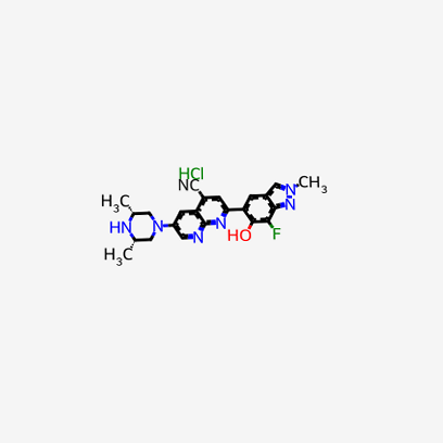 C[C@@H]1CN(c2cnc3nc(-c4cc5cn(C)nc5c(F)c4O)cc(C#N)c3c2)C[C@H](C)N1.Cl